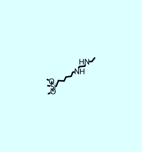 CCNCCNCCCCCC[Si](C)(OC)OC